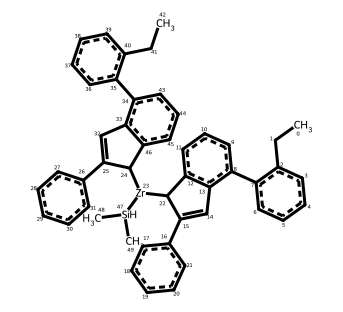 CCc1ccccc1-c1cccc2c1C=C(c1ccccc1)[CH]2[Zr]([CH]1C(c2ccccc2)=Cc2c(-c3ccccc3CC)cccc21)[SiH](C)C